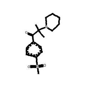 CC(C)(C(=O)c1ccc(S(C)(=O)=O)cc1)N1CCCCC1